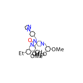 CCc1cc2c(c(OC)c1)C(C)(C)C=C1N(C2)C(=O)N(Cc2ccc(-n3cccn3)cc2)C12CCN(Cc1cc(OC)cc(OC)c1)CC2